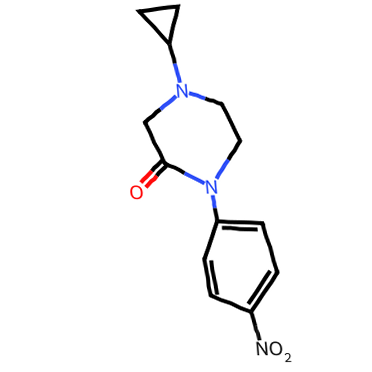 O=C1CN(C2CC2)CCN1c1ccc([N+](=O)[O-])cc1